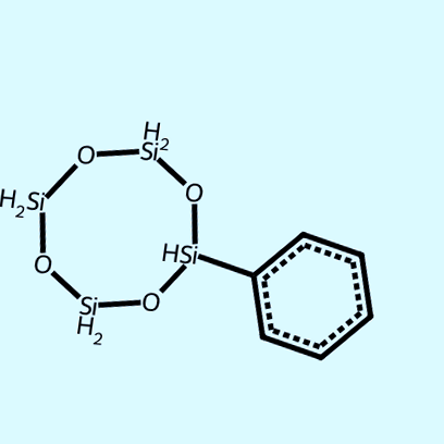 c1ccc([SiH]2O[SiH2]O[SiH2]O[SiH2]O2)cc1